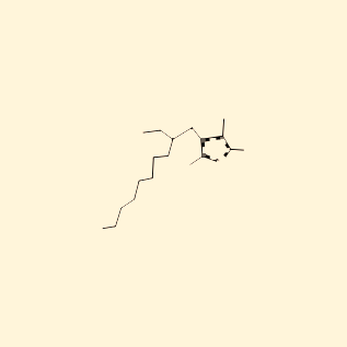 CCCCCCCCC(CC)Cc1c(C)sc(C)c1C